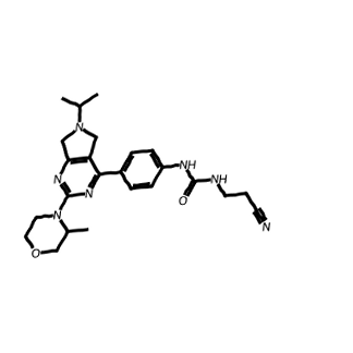 CC(C)N1Cc2nc(N3CCOCC3C)nc(-c3ccc(NC(=O)NCCC#N)cc3)c2C1